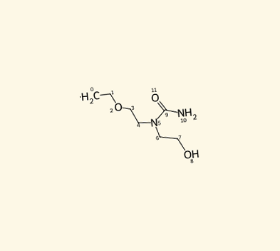 [CH2]COCCN(CCO)C(N)=O